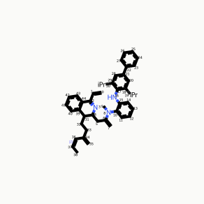 C=CC1=NC(CC(=C)N(C)c2ccccc2Nc2c(C(C)C)cc(-c3ccccc3)cc2C(C)C)C(CCC(=C)/C=C\C)c2ccccc21